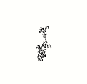 O=C(NCCC1C2CN(c3nc(Cl)ncc3F)CC12)c1cc2c(nc3sccn32)s1